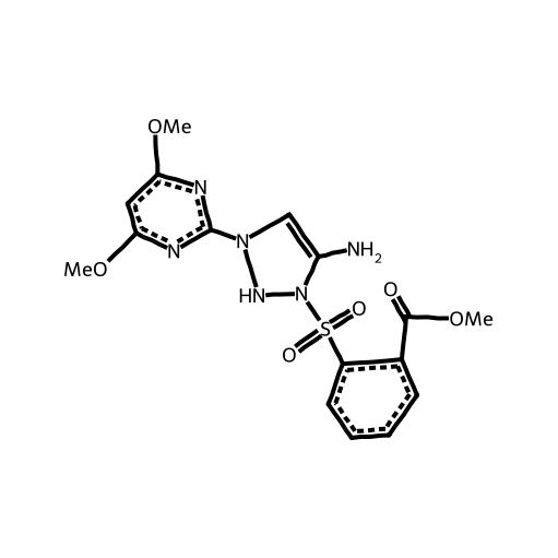 COC(=O)c1ccccc1S(=O)(=O)N1NN(c2nc(OC)cc(OC)n2)C=C1N